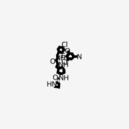 N#Cc1cc(Cl)cc(Oc2c(Cl)ccc(CNC(=O)c3cc4cc(NC(=O)[C@@H]5CCCN5)ccc4[nH]3)c2F)c1